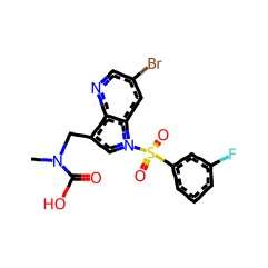 CN(Cc1cn(S(=O)(=O)c2cccc(F)c2)c2cc(Br)cnc12)C(=O)O